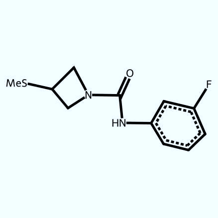 CSC1CN(C(=O)Nc2cccc(F)c2)C1